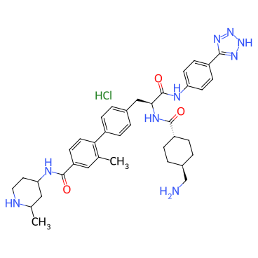 Cc1cc(C(=O)NC2CCNC(C)C2)ccc1-c1ccc(C[C@H](NC(=O)[C@H]2CC[C@H](CN)CC2)C(=O)Nc2ccc(-c3nn[nH]n3)cc2)cc1.Cl